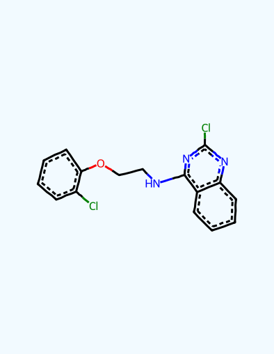 Clc1nc(NCCOc2ccccc2Cl)c2ccccc2n1